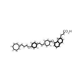 O=C(O)CCc1ccc2cccc(OC3CCN(CCc4ccc(OCCCN5CCCCCC5)cc4)CC3)c2n1